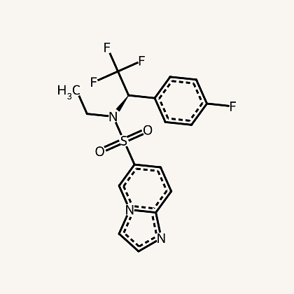 CCN([C@H](c1ccc(F)cc1)C(F)(F)F)S(=O)(=O)c1ccc2nccn2c1